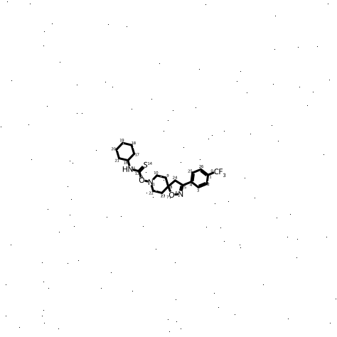 FC(F)(F)c1ccc(C2=NOC3(CCN(OC(=S)NC4CCCCC4)CC3)C2)cc1